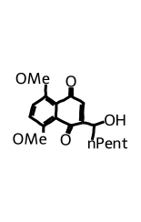 CCCCCC(O)C1=CC(=O)c2c(OC)ccc(OC)c2C1=O